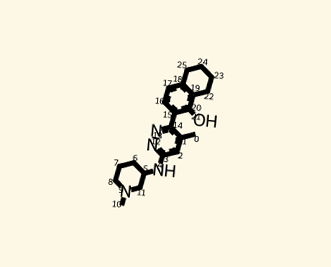 Cc1cc(NC2CCCN(C)C2)nnc1-c1ccc2c(c1O)CCCC2